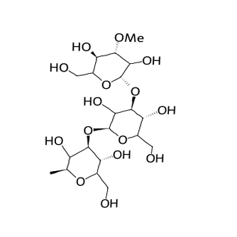 CO[C@@H]1C(O)[C@H](O[C@@H]2C(O)[C@H](O[C@@H]3C(O)[C@H](C)OC(CO)[C@H]3O)OC(CO)[C@H]2O)OC(CO)[C@H]1O